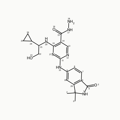 CC1(C)NC(=O)c2ccc(Nc3ncc(C(=O)NN)c(NC(CO)C4CC4)n3)cc21